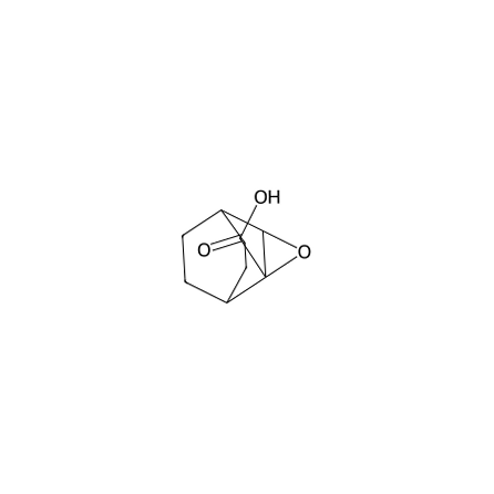 O=C(O)C12OC1C1CCC2CC1